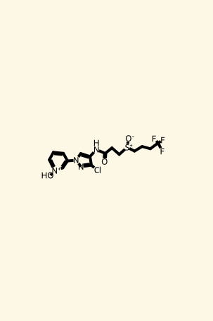 O=C(CC[S+]([O-])CCCC(F)(F)F)Nc1cn(-c2ccc[n+](O)c2)nc1Cl